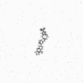 O=C(c1ccc(-c2cc(CN3CCOc4nc([N+](=O)[O-])cn4CC3)ccn2)cc1F)N1CCCC1